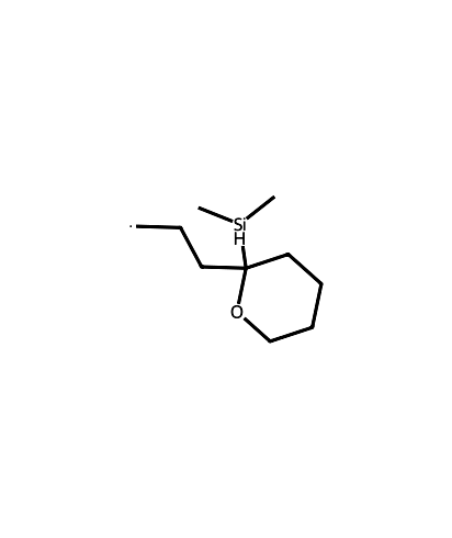 [CH2]CCC1([SiH](C)C)CCCCO1